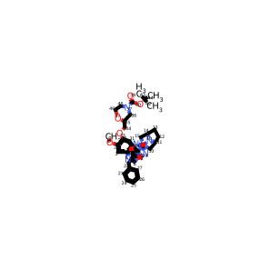 COc1cc2ncnc(N3CC4CCC(C3)N4c3ncc(Cc4ccccc4)cn3)c2cc1OCC1CN(C(=O)OC(C)(C)C)CCO1